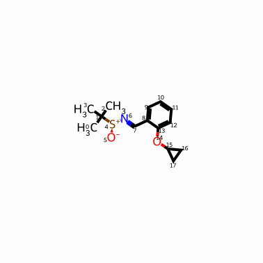 CC(C)(C)[S@+]([O-])N=Cc1ccccc1OC1CC1